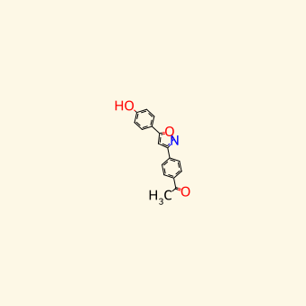 CC(=O)c1ccc(-c2cc(-c3ccc(O)cc3)on2)cc1